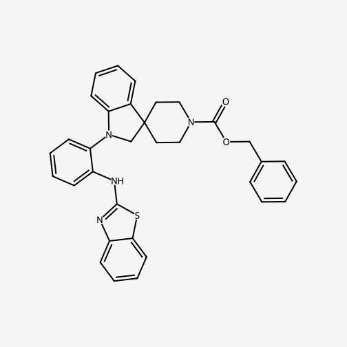 O=C(OCc1ccccc1)N1CCC2(CC1)CN(c1ccccc1Nc1nc3ccccc3s1)c1ccccc12